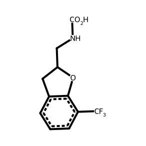 O=C(O)NCC1Cc2cccc(C(F)(F)F)c2O1